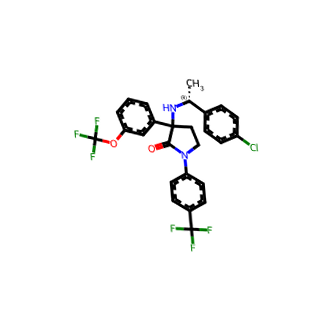 C[C@@H](NC1(c2cccc(OC(F)(F)F)c2)CCN(c2ccc(C(F)(F)F)cc2)C1=O)c1ccc(Cl)cc1